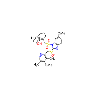 COc1ccc2nc([S@@+]([O-])Cc3ncc(C)c(OC)c3C)n(S(=O)(=O)CC34CCC(CC3O)C4(C)C)c2c1